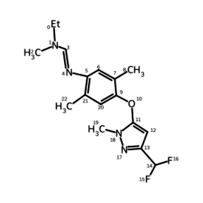 CCN(C)C=Nc1cc(C)c(Oc2cc(C(F)F)nn2C)cc1C